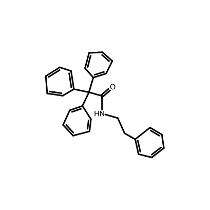 O=C(NCCc1ccccc1)C(c1ccccc1)(c1ccccc1)c1ccccc1